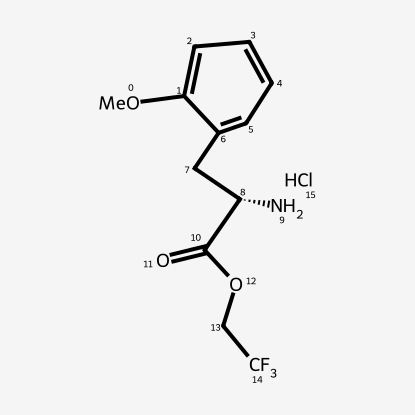 COc1ccccc1C[C@H](N)C(=O)OCC(F)(F)F.Cl